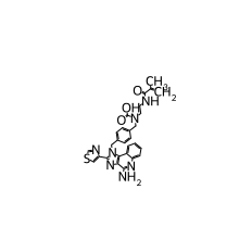 C=C(C)C(=O)NCCN(Cc1ccc(Cn2c(-c3cscn3)nc3c(N)nc4ccccc4c32)cc1)C(=O)O